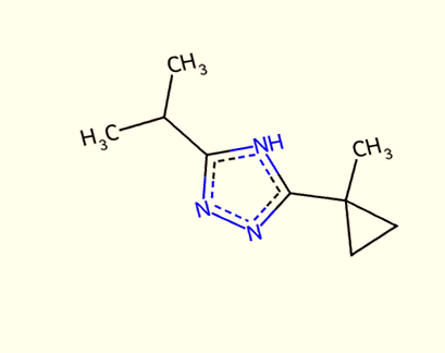 CC(C)c1nnc(C2(C)CC2)[nH]1